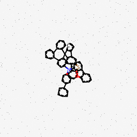 c1ccc(-c2ccc(N(c3ccc4c(c3)C3(c5ccccc5-c5ccccc5-4)c4ccccc4-c4cc5sc6ccccc6c5cc43)c3cccc4c3oc3ccccc34)cc2)cc1